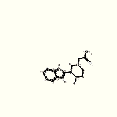 NC(=O)CN1CCC(F)C(c2nc3ccccc3s2)C1